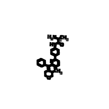 CC1COCCN1N(c1ccccc1)c1nccc(-c2ccc(NC(=O)[C@H](C)N)cc2)n1